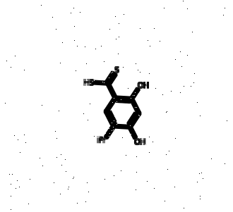 CC(C)c1cc(C(=S)S)c(O)cc1O